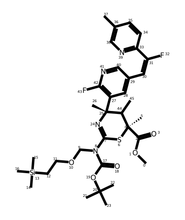 COC(=O)[C@@]1(C)SC(N(COCC[Si](C)(C)C)C(=O)OC(C)(C)C)=N[C@](C)(c2cc(/C=C(/F)c3ccc(C)cn3)cnc2F)C1C